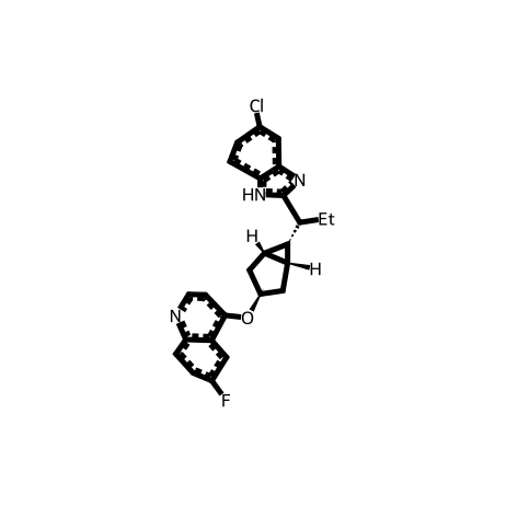 CCC(c1nc2cc(Cl)ccc2[nH]1)[C@@H]1[C@@H]2C[C@@H](Oc3ccnc4ccc(F)cc34)C[C@@H]21